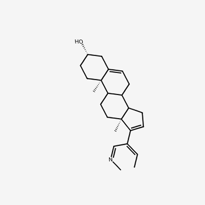 C/C=C(\C=N/C)C1=CCC2C3CC=C4C[C@@H](O)CC[C@]4(C)C3CC[C@]12C